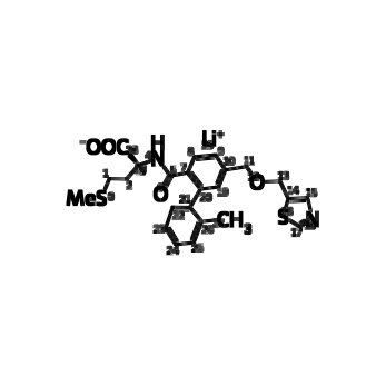 CSCC[C@H](NC(=O)c1ccc(COCc2cncs2)cc1-c1ccccc1C)C(=O)[O-].[Li+]